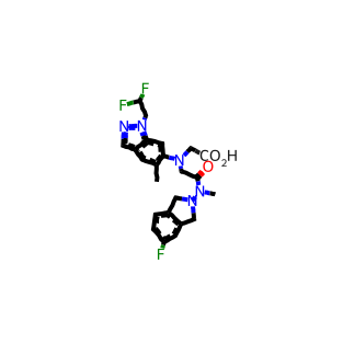 Cc1cc2cnn(CC(F)F)c2cc1N(CC(=O)O)CC(=O)N(C)N1Cc2ccc(F)cc2C1